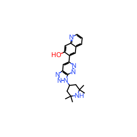 CC1(C)CC(n2nnc3cc(-c4cc5cccnc5cc4O)nnc32)CC(C)(C)N1